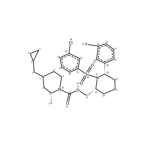 C[C@@H]1CN(CC2CC2)CCN1C(=O)OC[C@H]1CCC[C@@H](c2cccc(F)c2)N1S(=O)(=O)c1cccc(Cl)c1